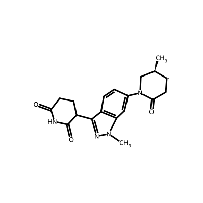 C[C@H]1[CH]CC(=O)N(c2ccc3c(C4CCC(=O)NC4=O)nn(C)c3c2)C1